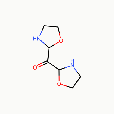 O=C(C1NCCO1)C1NCCO1